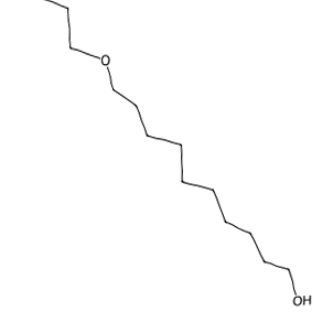 CCCOCCCCCCCCCCO